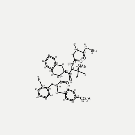 CSC(C)(C)C(NC(=O)CN(C)C(=O)OC(C)(C)C)C(=O)N1Cc2ccccc2C[C@H]1C(=O)N(Cc1ccc(C(=O)O)cc1)Cc1ccccc1F